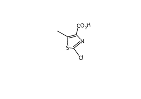 Cc1sc(Cl)nc1C(=O)O